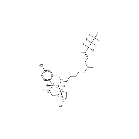 CN(CC=C(F)C(F)(F)C(F)(F)C(F)(F)F)CCCCC[C@@H]1Cc2cc(O)ccc2[C@@H]2[C@@H]1[C@@H]1CC[C@H](O)[C@@]1(C)C[C@@H]2F